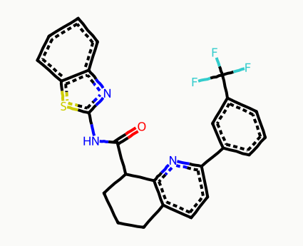 O=C(Nc1nc2ccccc2s1)C1CCCc2ccc(-c3cccc(C(F)(F)F)c3)nc21